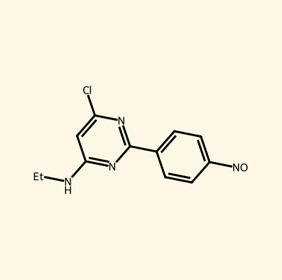 CCNc1cc(Cl)nc(-c2ccc(N=O)cc2)n1